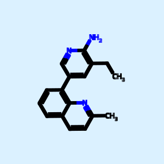 CCc1cc(-c2cccc3ccc(C)nc23)cnc1N